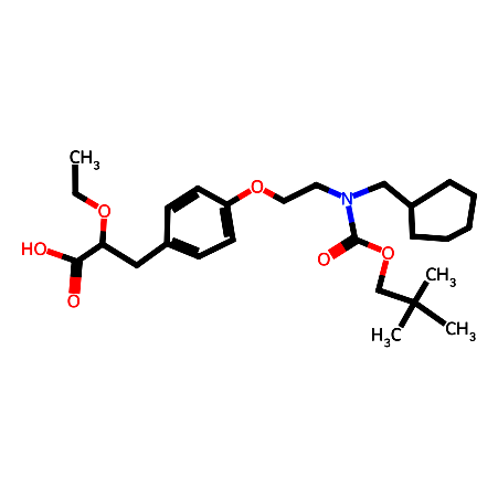 CCOC(Cc1ccc(OCCN(CC2CCCCC2)C(=O)OCC(C)(C)C)cc1)C(=O)O